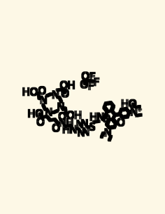 CCN(CC)c1ccc2c(-c3ccccc3C(=O)NCCSc3nnc(NCCNC(=O)CCC(C(=O)O)N4CCN(CC(=O)O)CCN(CC(=O)O)CCN(CC(=O)O)CC4)nn3)c3ccc(=[N+](CC)C(C)O)cc-3oc2c1.O=C([O-])C(F)(F)F